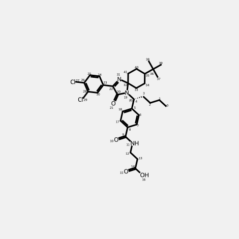 CCCC[C@H](c1ccc(C(=O)NCCC(=O)O)cc1)N1C(=O)C(c2ccc(Cl)c(Cl)c2)=NC12CCC(C(C)(C)C)CC2